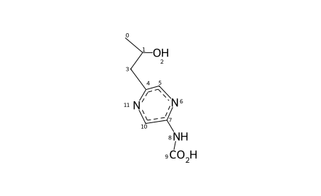 CC(O)Cc1cnc(NC(=O)O)cn1